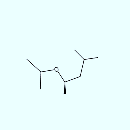 CC(C)C[C@@H](C)OC(C)C